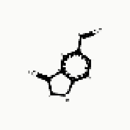 O=Cc1ccc2c(c1)C(=O)CO2